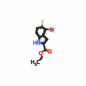 CCOC(=O)c1cc2c(Br)c(F)ccc2[nH]1